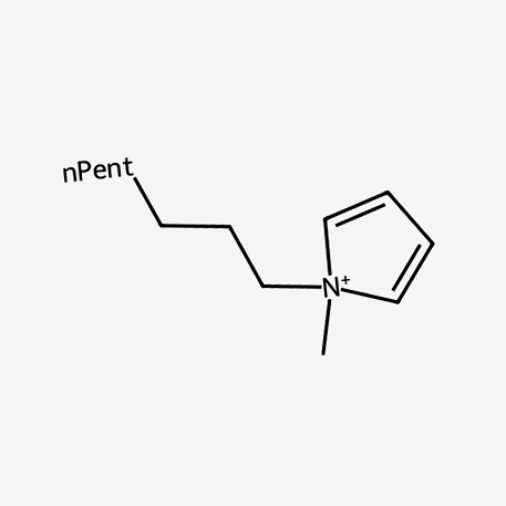 CCCCCCCC[N+]1(C)C=CC=C1